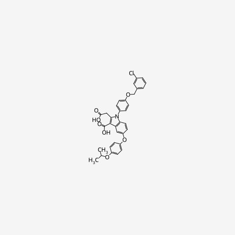 CC(C)Oc1ccc(Oc2ccc3c(c2)c(C(=O)O)c(CC(=O)O)n3-c2ccc(OCc3cccc(Cl)c3)cc2)cc1